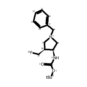 CC(C)(C)OC(=O)N[C@@H]1CN(Cc2ccccc2)C[C@@H]1CF